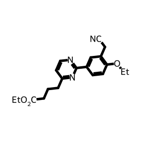 CCOC(=O)CCCc1ccnc(-c2ccc(OCC)c(CC#N)c2)n1